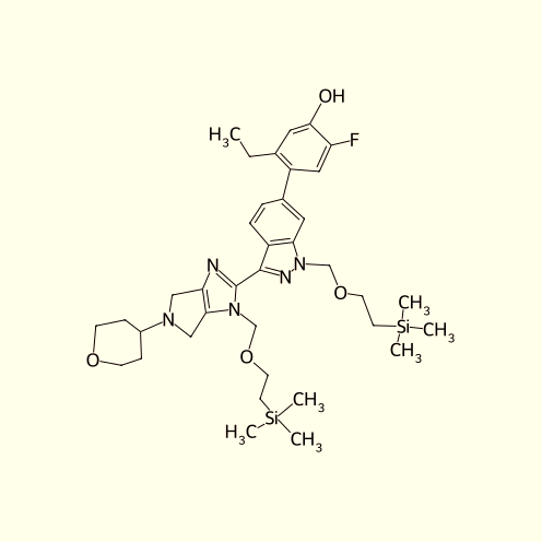 CCc1cc(O)c(F)cc1-c1ccc2c(-c3nc4c(n3COCC[Si](C)(C)C)CN(C3CCOCC3)C4)nn(COCC[Si](C)(C)C)c2c1